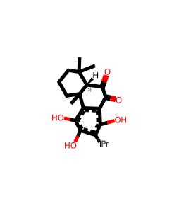 CC(C)c1c(O)c(O)c2c(c1O)C(=O)C(=O)[C@H]1C(C)(C)CCCC21C